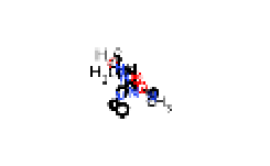 C=CC(=O)N1C[C@@H]2COc3c(OC[C@@H]4CCCN4C)nc4c(c3N2C[C@H]1C)CCN(c1cccc2c1CCCCC2)C4